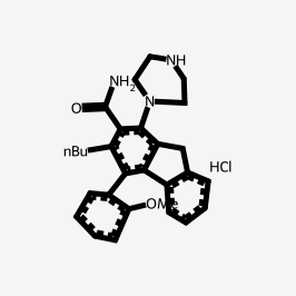 CCCCc1c(C(N)=O)c(N2CCNCC2)c2c(c1-c1ccccc1OC)-c1ccccc1C2.Cl